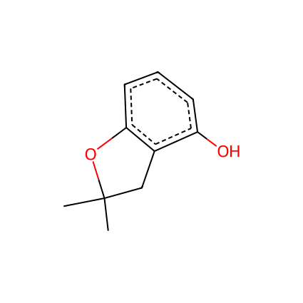 CC1(C)Cc2c(O)cccc2O1